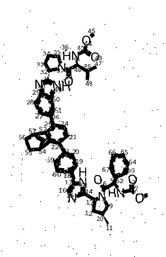 COC(=O)NC(C(=O)N1C[C@@H](C)CC1c1ncc(-c2ccc(-c3ccc(-c4ccc5nc([C@@H]6CC[C@H](C)N6C(=O)[C@@H](NC(=O)OC)C(C)C)[nH]c5c4)c4c3C3CCC4C3)cc2)[nH]1)c1ccccc1